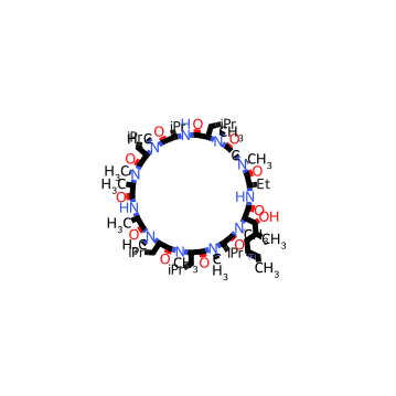 C/C=C/CC(C)C(O)C1C(=O)NC(CC)C(=O)N(C)CC(=O)N(C)C(CC(C)C)C(=O)NC(C(C)C)C(=O)N(C)C(CC(C)C)C(=O)N(C)C(C)C(=O)NC(C)C(=O)N(C)C(CC(C)C)C(=O)N(C)C(CC(C)C)C(=O)N(C)C(C(C)C)C(=O)N1C